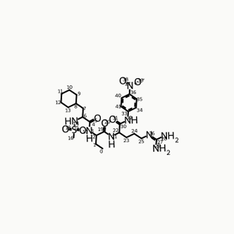 CCC(NC(=O)C(CC1CCCCC1)NS(C)(=O)=O)C(=O)NC(CCCN=C(N)N)C(=O)Nc1ccc([N+](=O)[O-])cc1